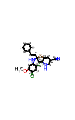 COc1cc(NC2(/C=C/c3ccccc3)C=C3NC=C(C#N)C=C3S2)c(Cl)cc1Cl